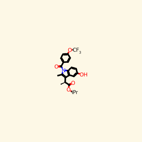 Cc1c([C@H](C)C(=O)OC(C)C)c2cc(O)ccc2n1C(=O)c1ccc(OC(F)(F)F)cc1